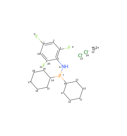 Fc1cc(F)c(NP(C2CCCCC2)C2CCCCC2)c(F)c1.[Cl-].[Cl-].[Ti+2]